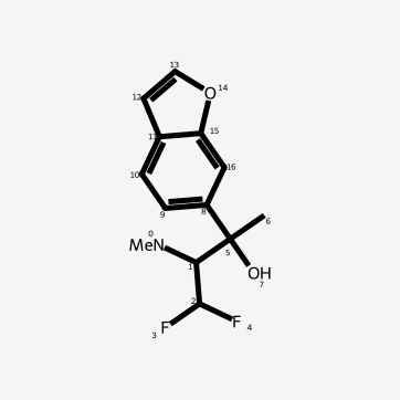 CNC(C(F)F)C(C)(O)c1ccc2ccoc2c1